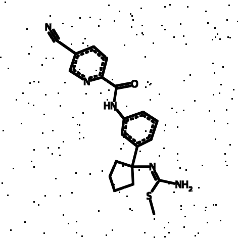 CS/C(N)=N\C1(c2cccc(NC(=O)c3ccc(C#N)cn3)c2)CCCC1